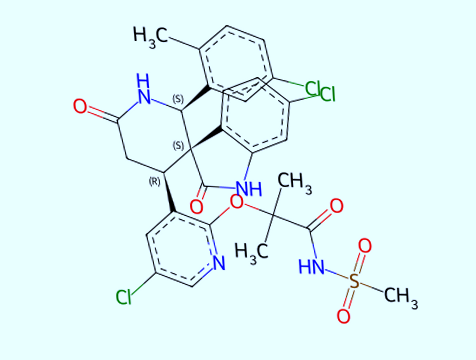 Cc1ccc(Cl)cc1[C@@H]1NC(=O)C[C@H](c2cc(Cl)cnc2OC(C)(C)C(=O)NS(C)(=O)=O)[C@@]12C(=O)Nc1cc(Cl)ccc12